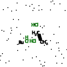 C=C.Cl.Cl.Cl.[Ru]